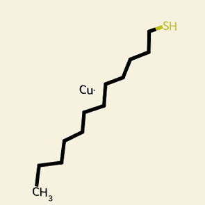 CCCCCCCCCCCCS.[Cu]